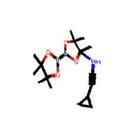 CC1(C)OB(B2OC(C)(C)C(C)(NC#CC3CC3)O2)OC1(C)C